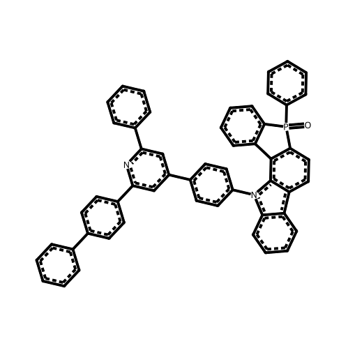 O=P1(c2ccccc2)c2ccccc2-c2c1ccc1c3ccccc3n(-c3ccc(-c4cc(-c5ccccc5)nc(-c5ccc(-c6ccccc6)cc5)c4)cc3)c21